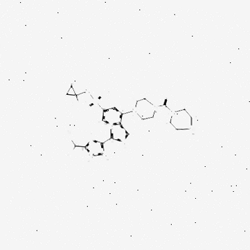 CC1(NS(=O)(=O)c2cc(N3CCN(C(=O)N4CCNCC4)CC3)c3cnc(-c4nnc(C(F)F)s4)n3c2)CC1